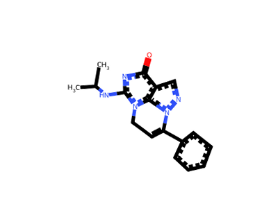 CC(C)Nc1nc(=O)c2cnn3c2n1CC=C3c1ccccc1